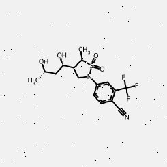 CC1C([C@H](O)C[C@H](C)O)CN(c2ccc(C#N)c(C(F)(F)F)c2)S1(=O)=O